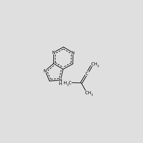 C=C=C(C)C.c1ncc2[nH]cnc2n1